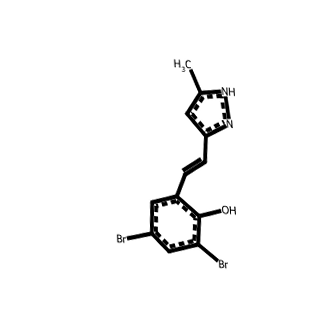 Cc1cc(C=Cc2cc(Br)cc(Br)c2O)n[nH]1